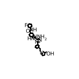 Nc1ncc(-c2cccc(CCN3CCCC(CO)C3)c2)nc1-c1nc2cc(C(=O)Nc3cccc(F)c3)ccc2[nH]1